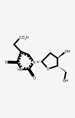 O=C(O)Cc1cn([C@@H]2C[C@@H](O)[C@H](CO)O2)c(=O)[nH]c1=O